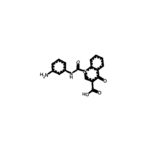 Nc1cccc(NC(=O)n2cc(C(=O)O)c(=O)c3ccccc32)c1